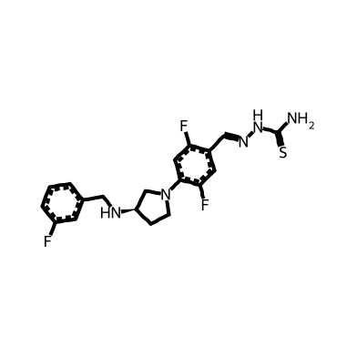 NC(=S)N/N=C/c1cc(F)c(N2CC[C@@H](NCc3cccc(F)c3)C2)cc1F